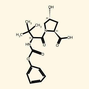 CC(C)(C)[C@H](NC(=O)Oc1ccccc1)C(=O)N1C[C@H](O)C[C@H]1C(=O)O